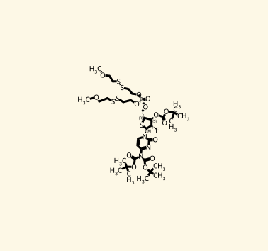 COCCSSCCOP(=O)(OCCSSCCOC)OC[C@H]1S[C@@H](n2ccc(N(C(=O)OC(C)(C)C)C(=O)OC(C)(C)C)nc2=O)[C@@H](F)[C@@H]1OC(=O)OC(C)(C)C